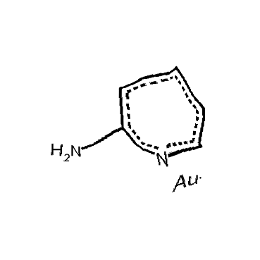 Nc1ccccn1.[Au]